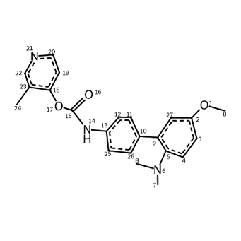 COc1ccc(N(C)C)c(-c2ccc(NC(=O)Oc3ccncc3C)cc2)c1